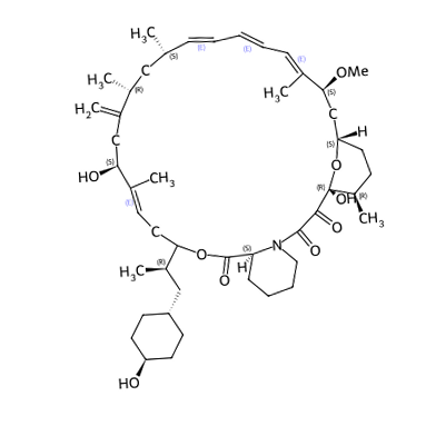 C=C1C[C@H](O)/C(C)=C/CC([C@H](C)C[C@H]2CC[C@H](O)CC2)OC(=O)[C@@H]2CCCCN2C(=O)C(=O)[C@]2(O)O[C@@H](CC[C@H]2C)C[C@H](OC)/C(C)=C/C=C/C=C/[C@@H](C)C[C@H]1C